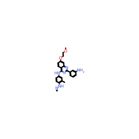 C=NNc1ccc(Nc2nc(-c3cccc(N)c3)nc3cc(OCCOC)ccc23)cc1C